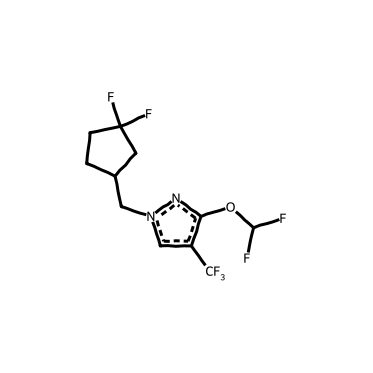 FC(F)Oc1nn(CC2CCC(F)(F)C2)cc1C(F)(F)F